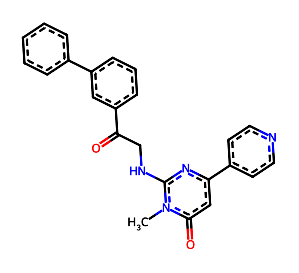 Cn1c(NCC(=O)c2cccc(-c3ccccc3)c2)nc(-c2ccncc2)cc1=O